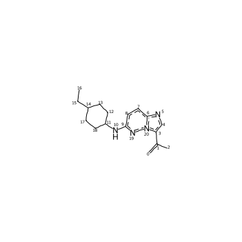 C=C(C)c1cnc2ccc(NC3CCC(CC)CC3)nn12